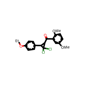 CCOc1ccc(C2C(C(=O)c3cc(OC)ccc3OC)C2(Cl)Cl)cc1